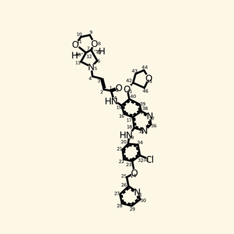 O=C(C=CCN1C[C@@H]2OCCO[C@@H]2C1)Nc1cc2c(Nc3ccc(OCc4ccccn4)c(Cl)c3)ncnc2cc1O[C@H]1CCOC1